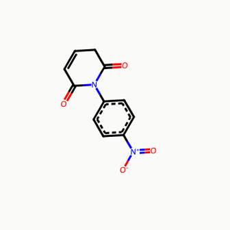 O=C1C=CCC(=O)N1c1ccc([N+](=O)[O-])cc1